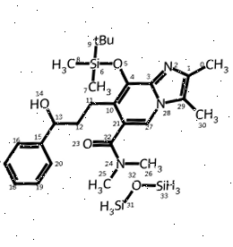 Cc1nc2c(O[Si](C)(C)C(C)(C)C)c(CCC(O)c3ccccc3)c(C(=O)N(C)C)cn2c1C.[SiH3]O[SiH3]